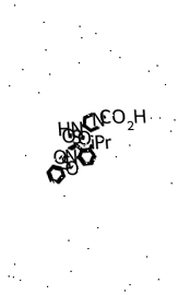 CC(C)c1cccc2c1c(S(=O)(=O)NC1CCN(C(=O)O)CC1)cn2S(=O)(=O)c1ccccc1